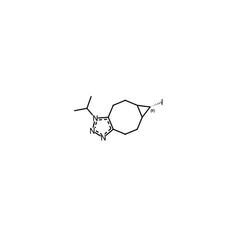 CC(C)n1nnc2c1CCC1C(CC2)[C@H]1I